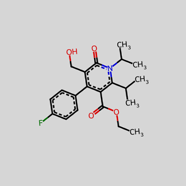 CCOC(=O)c1c(-c2ccc(F)cc2)c(CO)c(=O)n(C(C)C)c1C(C)C